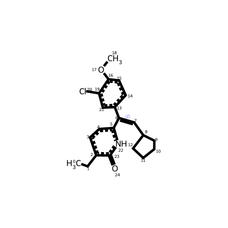 CCc1ccc(/C(=C\C2CCCC2)c2ccc(OC)c(Cl)c2)[nH]c1=O